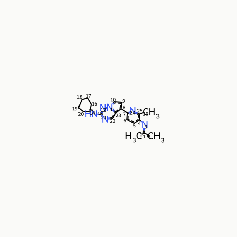 CC(C)=Nc1ccc(-c2ccn3nc(NC4CCCCC4)ncc23)nc1C